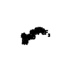 Cc1nnc([C@@H](c2ccccc2)N2CCN(C(=O)c3cc(-c4nc5cc(OC(F)(F)F)ccc5o4)ccn3)CC2)o1